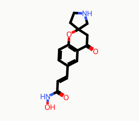 O=C(/C=C/c1ccc2c(c1)C(=O)CC1(CCNC1)O2)NO